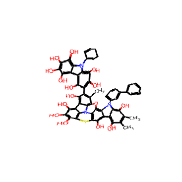 Cc1c(C)c(O)c2c(c1O)c1c(O)c3c4c(c1n2-c1cccc(-c2ccccc2)c1)Oc1c(C)c(-c2c(O)c(O)c5c(c2O)c2c(O)c(O)c(O)c(O)c2n5C2=CCCC=C2)c(O)c2c5c(O)c(O)c(O)c(c5n-4c12)S3